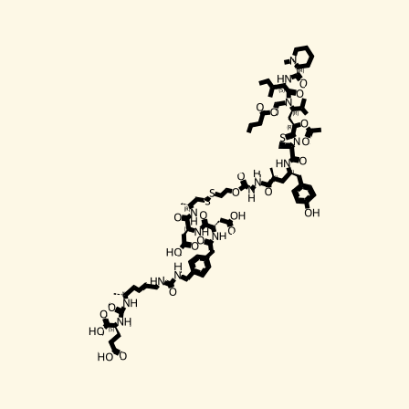 CCCC(=O)OCN(C(=O)[C@@H](NC(=O)[C@H]1CCCCN1C)C(C)CC)[C@H](C[C@@H](OC(C)=O)c1nc(C(=O)N[C@@H](Cc2ccc(O)cc2)C[C@H](C)C(=O)NNC(=O)OCCSSC[C@@H](C)NC(=O)[C@H](CC(=O)O)NC(=O)[C@H](CC(=O)O)NC(=O)Cc2ccc(CNC(=O)NCCCC[C@@H](C)NC(=O)N[C@@H](CCC(=O)O)C(=O)O)cc2)cs1)C(C)C